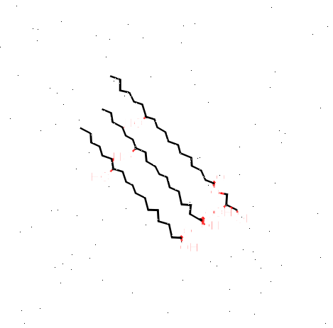 CCCCCCC(O)CCCCCCCCCCC(=O)O.CCCCCCC(O)CCCCCCCCCCC(=O)O.CCCCCCC(O)CCCCCCCCCCC(=O)OCC(O)CO